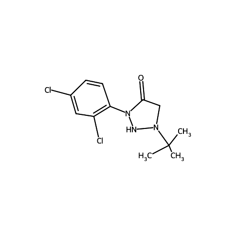 CC(C)(C)N1CC(=O)N(c2ccc(Cl)cc2Cl)N1